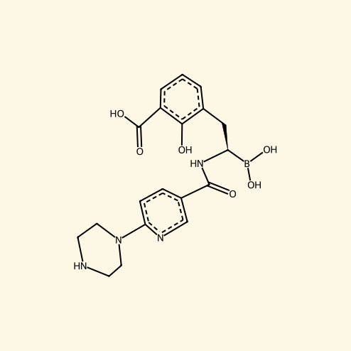 O=C(N[C@@H](Cc1cccc(C(=O)O)c1O)B(O)O)c1ccc(N2CCNCC2)nc1